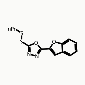 CCCSSc1nnc(-c2cc3ccccc3o2)o1